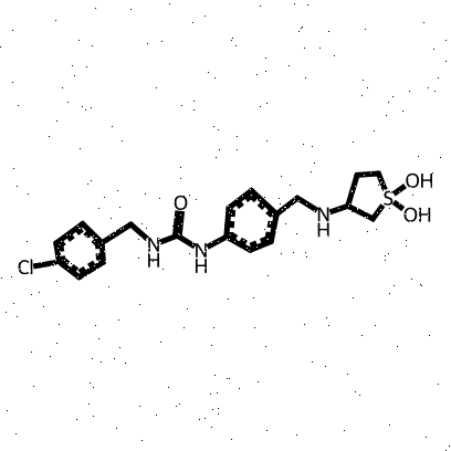 O=C(NCc1ccc(Cl)cc1)Nc1ccc(CNC2CCS(O)(O)C2)cc1